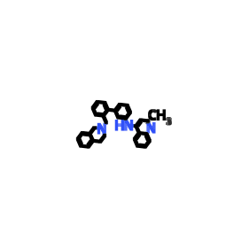 Cc1cc(Nc2cccc(-c3ccccc3CN3CCc4ccccc4C3)c2)c2ccccc2n1